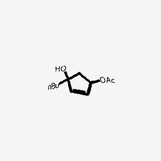 CCCCC1(O)C=CC(OC(C)=O)C1